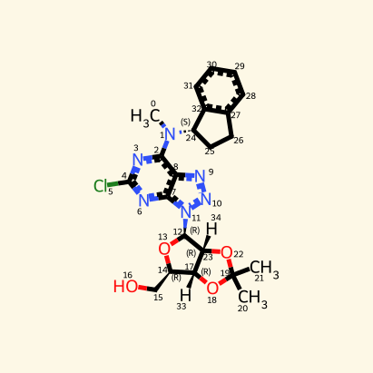 CN(c1nc(Cl)nc2c1nnn2[C@@H]1O[C@H](CO)[C@H]2OC(C)(C)O[C@H]21)[C@H]1CCc2ccccc21